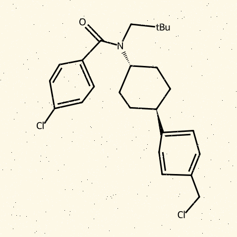 CC(C)(C)CN(C(=O)c1ccc(Cl)cc1)[C@H]1CC[C@H](c2ccc(CCl)cc2)CC1